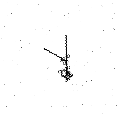 CCCCCCCCCCCCCCCC(=O)OCC(COC(=O)CCCCCCCCCCCCCCC)OC(=O)CCC(=O)OCOC(=O)Oc1c(C/C=C(\C)CCC(=O)O)c(OC)c(C)c2c1C(=O)OC2